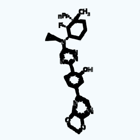 CCC[C@]1(C)CCC[C@H](N(c2cnc(-c3ccc(-c4cnc5c(n4)OCCO5)cc3O)nn2)C2CC2)[C@@H]1F